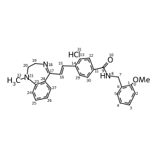 COc1ccccc1CNC(=O)c1ccc(C=CC2=NCCN(C)c3ccccc32)cc1.Cl